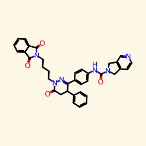 O=C(Nc1ccc(C2=NN(CCCCN3C(=O)c4ccccc4C3=O)C(=O)CC2c2ccccc2)cc1)N1Cc2ccncc2C1